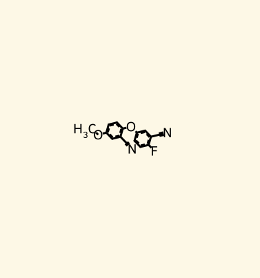 COc1ccc(Oc2ccc(F)c(C#N)c2)c(C#N)c1